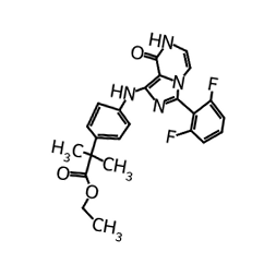 CCOC(=O)C(C)(C)c1ccc(Nc2nc(-c3c(F)cccc3F)n3cc[nH]c(=O)c23)cc1